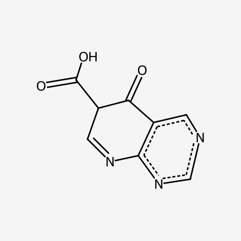 O=C(O)C1C=Nc2ncncc2C1=O